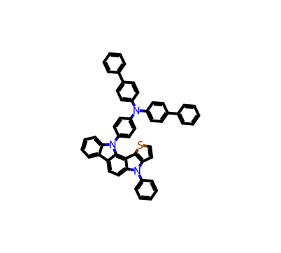 c1ccc(-c2ccc(N(c3ccc(-c4ccccc4)cc3)c3ccc(-n4c5ccccc5c5ccc6c(c7sccc7n6-c6ccccc6)c54)cc3)cc2)cc1